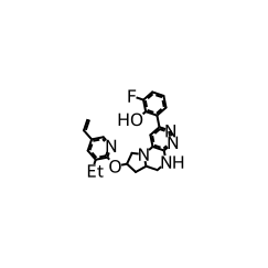 C=Cc1cnc(OC2CC3CNc4nnc(-c5cccc(F)c5O)cc4N3C2)c(CC)c1